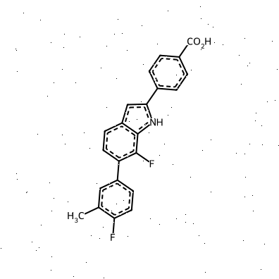 Cc1cc(-c2ccc3cc(-c4ccc(C(=O)O)cc4)[nH]c3c2F)ccc1F